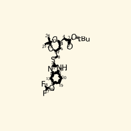 CC(C)(C)OC(=O)C[C@H]1C[C@@H](CSc2nc3cc(OC(F)F)ccc3[nH]2)OC(C)(C)O1